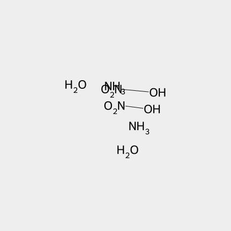 N.N.O.O.O=[N+]([O-])O.O=[N+]([O-])O